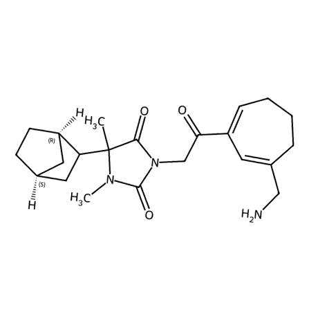 CN1C(=O)N(CC(=O)C2=CCCCC(CN)=C2)C(=O)C1(C)C1C[C@H]2CC[C@@H]1C2